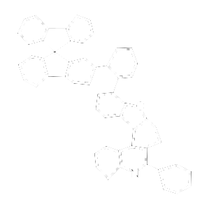 c1ccc(-c2nc3ccccc3c3c2ccc2oc4c(-c5ccccc5-c5ccc6c(c5)C5(c7ccccc7-c7ccccc75)c5ccccc5-6)cccc4c23)cc1